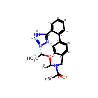 CCCCC(=O)N(Cc1ccc(-c2ccccc2-c2nnn[nH]2)cc1)C(OCC(=O)O)C(C)C